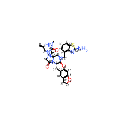 C=CCN(C(=O)NC)N1CC(=O)N2[C@@H](Cc3ccc4c(c3)CCO4)C(=O)N(Cc3cccc4sc(N)nc34)C[C@@H]21